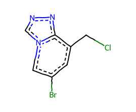 ClCc1cc(Br)cn2cnnc12